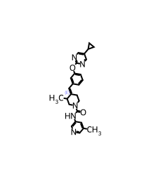 Cc1cncc(NC(=O)N2CC/C(=C\c3cccc(Oc4ncc(C5CC5)cn4)c3)C(C)C2)c1